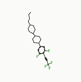 CCCCC1CCC(C2CCC(c3cc(F)c(C#CC(F)(F)F)c(F)c3)CC2)CC1